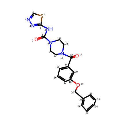 O=C(Nc1nncs1)N1CCN(C(=O)c2cccc(OCc3ccccc3)c2)CC1